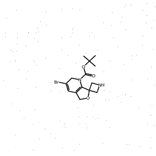 CC(C)(C)OC(=O)N1CC(Br)=CC2=C1C1(CNC1)OC2